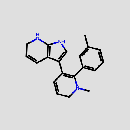 Cc1cccc(C2=C(c3c[nH]c4c3C=CCN4)C=CCN2C)c1